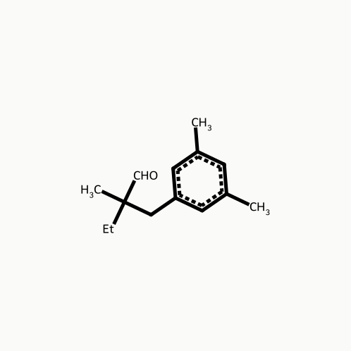 CCC(C)(C=O)Cc1cc(C)cc(C)c1